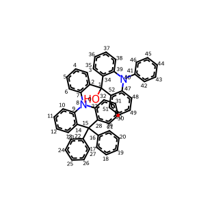 OC1(c2ccccc2N2c3ccccc3C(c3ccccc3)(c3ccccc3)c3ccccc32)c2ccccc2N(c2ccccc2)c2ccccc21